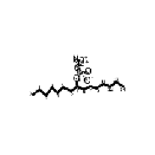 CCCCCCCC(CCCCCCC)OP(=O)([O-])[O-].[Na+].[Na+]